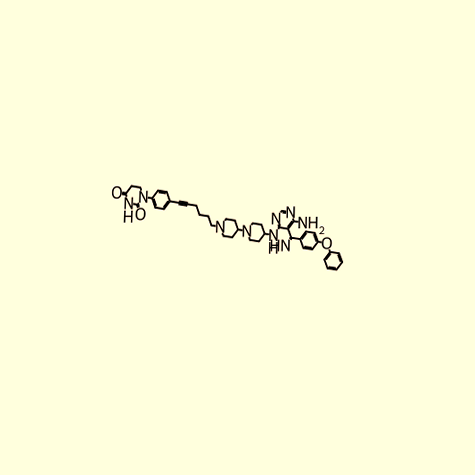 N=C(c1ccc(Oc2ccccc2)cc1)c1c(N)ncnc1NC1CCN(C2CCN(CCCCC#Cc3ccc(N4CCC(=O)NC4=O)cc3)CC2)CC1